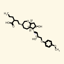 CCCC(CC[C@@H]1CC[C@@H]2[C@@H](/C=C/[C@@H](O)COc3ccc(OC)cc3)[C@H](O)C[C@@H]2OC1)C(=O)O